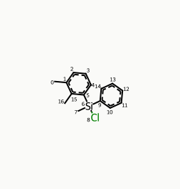 Cc1cccc([Si](C)(Cl)c2ccccc2)c1C